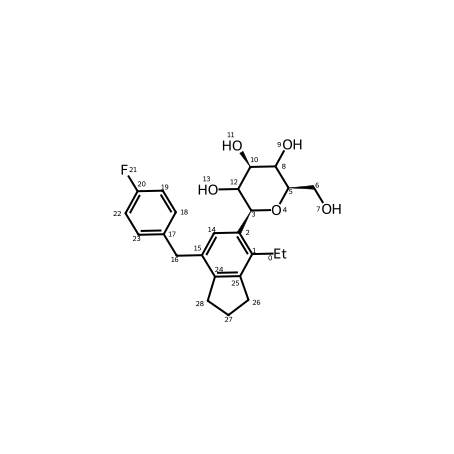 CCc1c([C@@H]2O[C@H](CO)C(O)[C@H](O)C2O)cc(Cc2ccc(F)cc2)c2c1CCC2